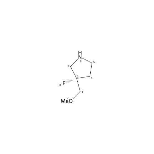 COC[C@]1(F)CCNC1